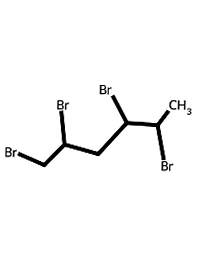 CC(Br)C(Br)CC(Br)CBr